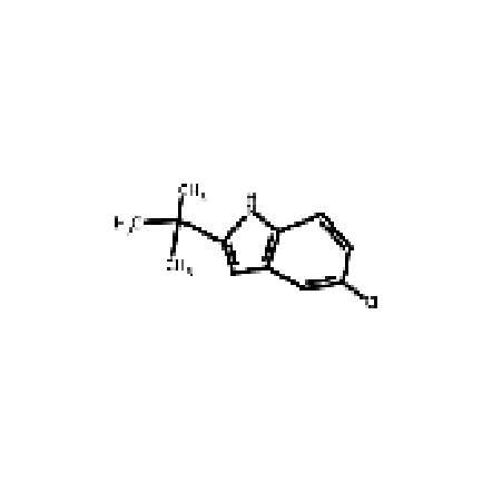 CC(C)(C)c1cc2cc(Cl)ccc2[nH]1